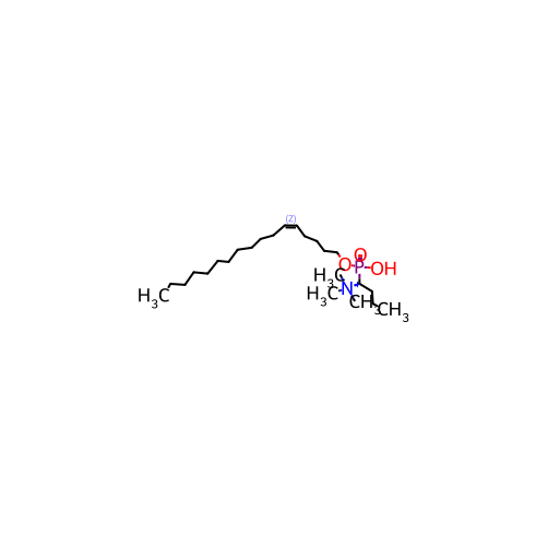 CCCCCCCCCCC/C=C\CCCCOP(=O)(O)C(CCC)[N+](C)(C)C